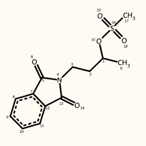 CC(CCN1C(=O)c2ccccc2C1=O)OS(C)(=O)=O